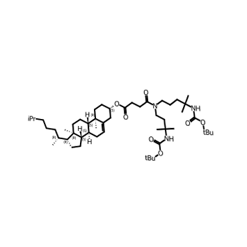 CC(C)CCC[C@@H](C)[C@H]1CC[C@H]2[C@@H]3CC=C4C[C@@H](OC(=O)CCC(=O)N(CCCC(C)(C)NC(=O)OC(C)(C)C)CCC(C)(C)NC(=O)OC(C)(C)C)CC[C@]4(C)[C@H]3CC[C@]12C